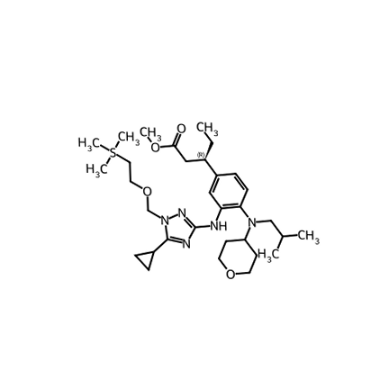 CC[C@H](CC(=O)OC)c1ccc(N(CC(C)C)C2CCOCC2)c(Nc2nc(C3CC3)n(COCCS(C)(C)C)n2)c1